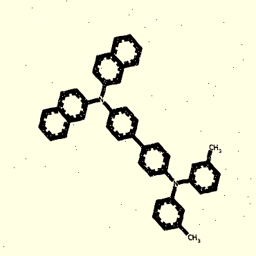 Cc1cccc(N(c2ccc(-c3ccc(N(c4ccc5ccccc5c4)c4ccc5ccccc5c4)cc3)cc2)c2cccc(C)c2)c1